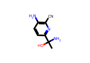 CC(N)(O)c1ccc(N)c(C#N)n1